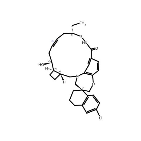 CC[C@H]1C/C=C\C[C@H](O)[C@@H]2CC[C@H]2CN2C[C@@]3(CCCc4cc(Cl)ccc43)COc3ccc(cc32)C(=O)NS1